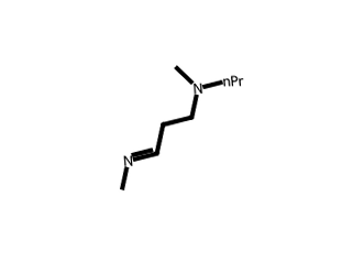 CCCN(C)CC/C=N/C